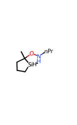 CCCNOC1(C)CCC[SiH]1C